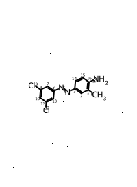 Cc1cc(N=Nc2cc(Cl)cc(Cl)c2)ccc1N